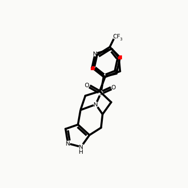 O=S(=O)(c1ccc(C(F)(F)F)cc1)N1C2Cc3[nH]ncc3C1CC(c1cccnc1)C2